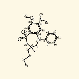 CCCCC1(C)CN(c2ccccc2)c2cc(N(C)C)c(OC)cc2S(=O)(=O)C1